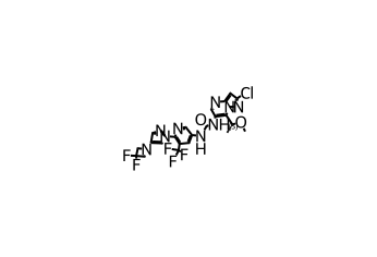 CO[C@@H](C)c1c(NC(=O)Nc2cnc(-n3cc(N4CC(F)(F)C4)cn3)c(C(F)(F)F)c2)cnc2cc(Cl)nn12